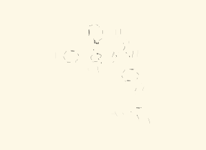 Cc1nc([C@H]([C@@H](C)c2ccccc2)N2C(=O)N[C@H](c3ccc(OCC(=O)N(C)C)cc3)C2=O)[nH]c1-c1ccc(I)cc1F